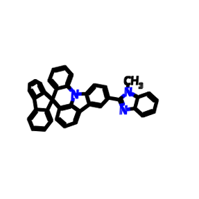 CN1C(c2ccc3c(c2)c2cccc4c2n3-c2ccccc2C42c3ccccc3-c3ccccc32)=NC2C=CC=CC21